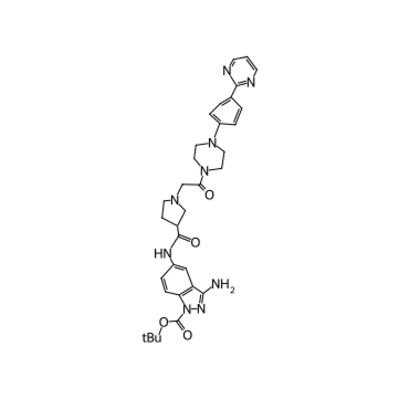 CC(C)(C)OC(=O)n1nc(N)c2cc(NC(=O)C3CCN(CC(=O)N4CCN(c5ccc(-c6ncccn6)cc5)CC4)C3)ccc21